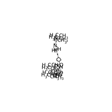 C[C@H](O[Si](C)(C)C(C)(C)C)c1nccn1[C@H](NC(=O)OC(C)(C)C)c1cc(-c2ccc(C#C[C@@H]3[C@H]4CN(CCO[Si](C)(C)C(C)(C)C)C[C@@H]34)cc2)on1